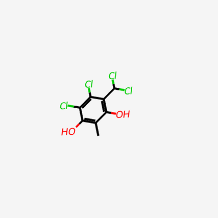 Cc1c(O)c(Cl)c(Cl)c(C(Cl)Cl)c1O